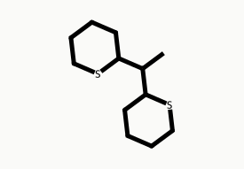 C[C](C1CCCCS1)C1CCCCS1